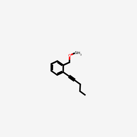 CCCC#Cc1ccccc1CO[SiH3]